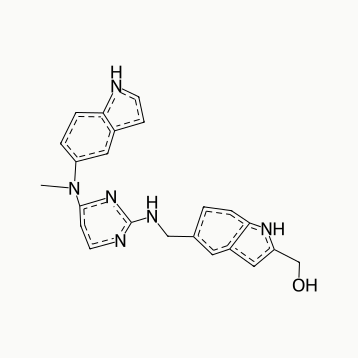 CN(c1ccc2[nH]ccc2c1)c1ccnc(NCc2ccc3[nH]c(CO)cc3c2)n1